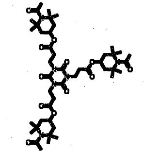 CC(=O)N1C(C)(C)CC(OC(=O)CCn2c(=O)n(CCC(=O)OC3CC(C)(C)N(C(C)=O)C(C)(C)C3)c(=O)n(CCC(=O)OC3CC(C)(C)N(C(C)=O)C(C)(C)C3)c2=O)CC1(C)C